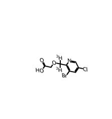 [2H]C([2H])(OCC(=O)O)c1ncc(Cl)cc1Br